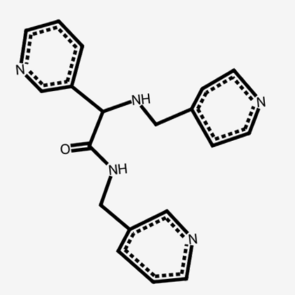 O=C(NCc1cccnc1)C(NCc1ccncc1)c1cccnc1